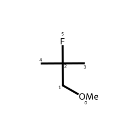 COCC(C)(C)F